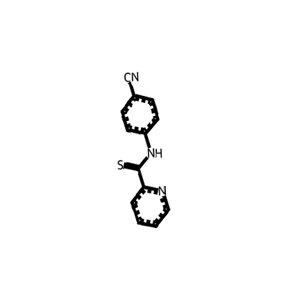 N#Cc1ccc(NC(=S)c2ccccn2)cc1